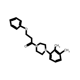 Cc1cccc(N2CCN(C(=O)CCOc3ccccc3)CC2)c1C